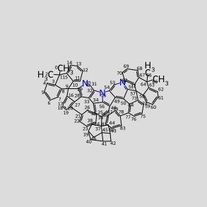 CC1(C)c2ccccc2C2(c3ccccc31)c1cccc(-c3ccccc3)c1-c1c2ncc2c1c1cc(C34CC5CC6CC(C3)C64C5)cc3c4c5c(ncc4n2c13)C1(c2ccccc2C(C)(C)c2ccccc21)c1cccc(-c2ccccc2)c1-5